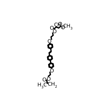 C=C(C)C(=O)OCCCOc1ccc(-c2ccc(/C=C/c3ccc(OCCCCOC(=O)C(=C)CC(=O)OC)cc3)cc2)cc1